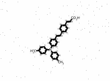 Cc1ccc(N(c2ccc(C)cc2)c2ccc(C=Cc3ccc(C=CC(=O)O)cc3)cc2)cc1